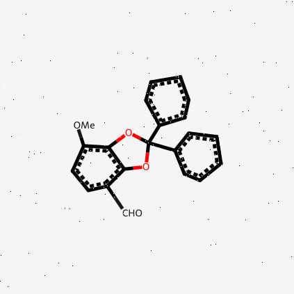 COc1ccc(C=O)c2c1OC(c1ccccc1)(c1ccccc1)O2